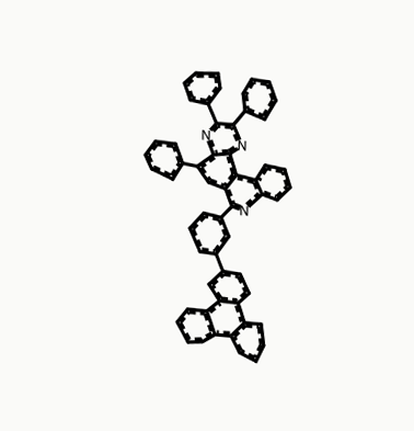 c1ccc(-c2nc3c(-c4ccccc4)cc4c(-c5cccc(-c6ccc7c8ccccc8c8ccccc8c7c6)c5)nc5ccccc5c4c3nc2-c2ccccc2)cc1